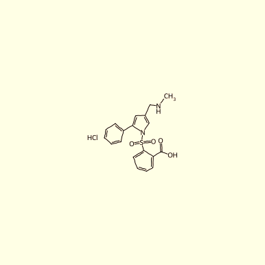 CNCc1cc(-c2ccccc2)n(S(=O)(=O)c2ccccc2C(=O)O)c1.Cl